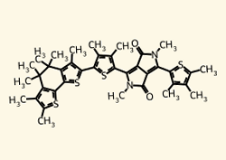 Cc1sc(C2=C3C(=O)N(C)C(c4sc(-c5sc6c(c5C)C(C)(C)C(C)(C)c5c-6sc(C)c5C)c(C)c4C)=C3C(=O)N2C)c(C)c1C